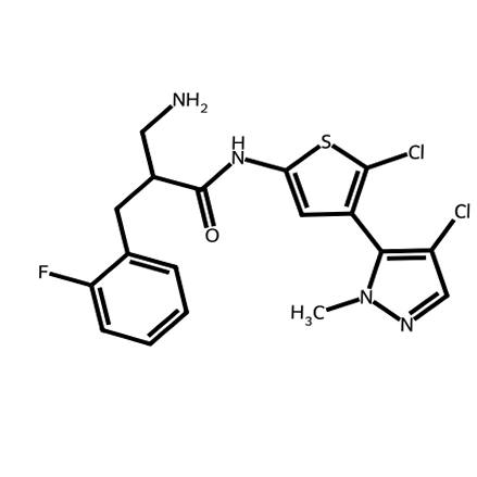 Cn1ncc(Cl)c1-c1cc(NC(=O)C(CN)Cc2ccccc2F)sc1Cl